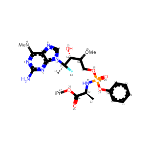 CNc1nc(N)nc2c1ncn2[C@](C)(F)[C@H](O)C(COP(=O)(N[C@@H](C)C(=O)OC(C)C)Oc1ccccc1)OC